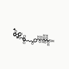 O=C(NC[C@H](O)[C@@H](O)[C@H](O)[C@H](O)CO)NC1CCN(C(=O)CCCCc2cc(Cl)c(COC3(c4cnccc4-c4ccccc4OC4CC4)CC3)cc2Cl)CC1